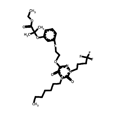 CCCCCCCn1c(=O)c(OCCCc2cccc(OC(C)(C)C(=O)OCC)c2)nn(CCCC(F)(F)F)c1=O